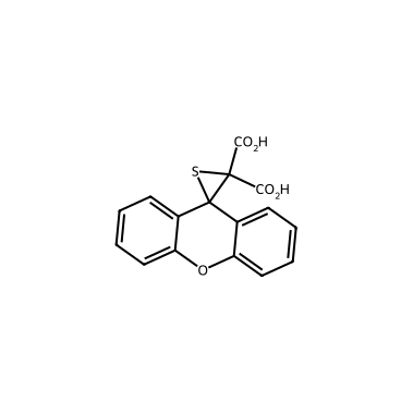 O=C(O)C1(C(=O)O)SC12c1ccccc1Oc1ccccc12